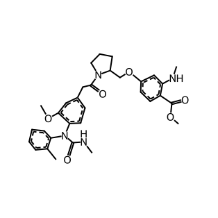 CNC(=O)N(c1ccccc1C)c1ccc(CC(=O)N2CCCC2COc2ccc(C(=O)OC)c(NC)c2)cc1OC